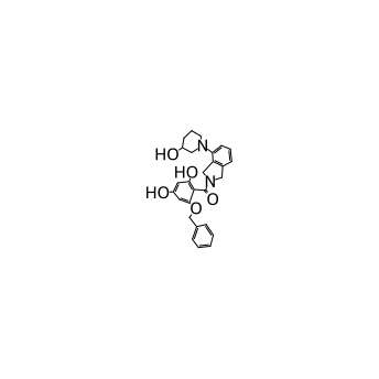 O=C(c1c(O)cc(O)cc1OCc1ccccc1)N1Cc2cccc(N3CCCC(O)C3)c2C1